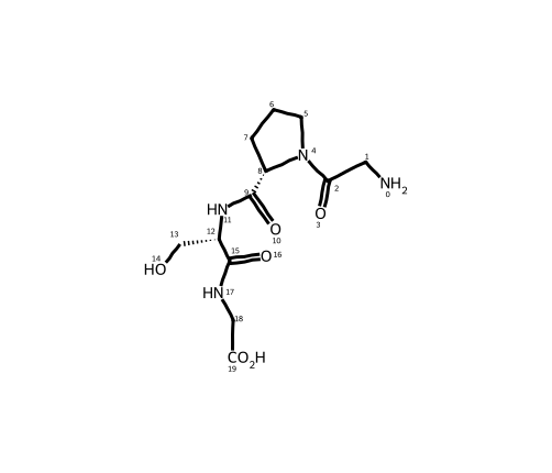 NCC(=O)N1CCC[C@H]1C(=O)N[C@@H](CO)C(=O)NCC(=O)O